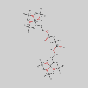 CC(C)(CC(=O)OCCC[Si](O[Si](C)(C)C)(O[Si](C)(C)C)O[Si](C)(C)C)C(=O)OCCC[Si](O[Si](C)(C)C)(O[Si](C)(C)C)O[Si](C)(C)C